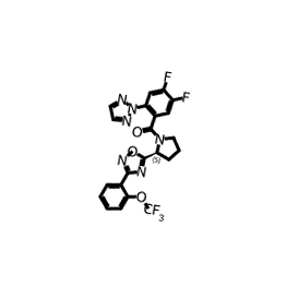 O=C(c1cc(F)c(F)cc1-n1nccn1)N1CCC[C@H]1c1nc(-c2ccccc2OC(F)(F)F)no1